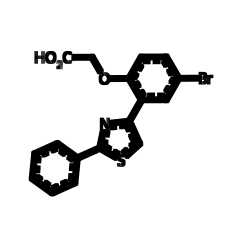 O=C(O)COc1ccc(Br)cc1-c1csc(-c2ccccc2)n1